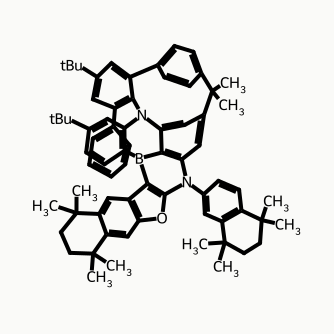 CC(C)(C)c1cc(-c2ccccc2)c2c(c1)-c1ccc(cc1)C(C)(C)c1cc3c4c(c1)N2c1cc(C(C)(C)C)ccc1B4c1c(oc2cc4c(cc12)C(C)(C)CCC4(C)C)N3c1ccc2c(c1)C(C)(C)CCC2(C)C